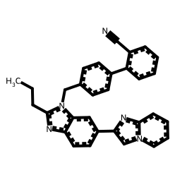 CCCc1nc2ccc(-c3cn4ccccc4n3)cc2n1Cc1ccc(-c2ccccc2C#N)cc1